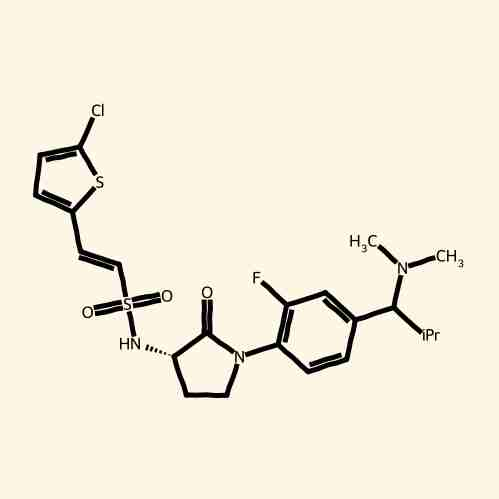 CC(C)C(c1ccc(N2CC[C@H](NS(=O)(=O)/C=C/c3ccc(Cl)s3)C2=O)c(F)c1)N(C)C